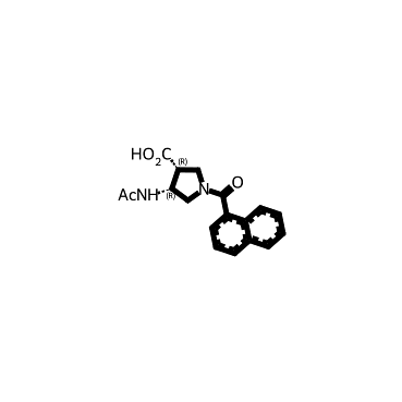 CC(=O)N[C@H]1CN(C(=O)c2cccc3ccccc23)C[C@H]1C(=O)O